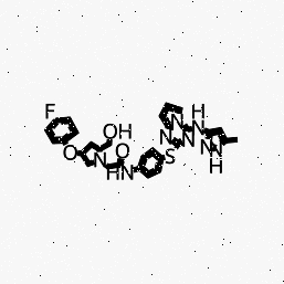 Cc1cc(Nc2nc(Sc3ccc(NC(=O)CN4CC(Oc5ccc(F)cc5)CC4CO)cc3)nc3cccn23)n[nH]1